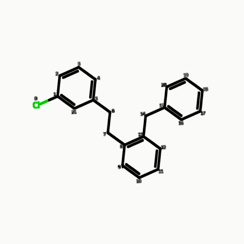 Clc1cccc(CCc2[c]cccc2Cc2ccccc2)c1